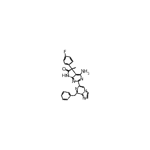 CC1(c2ccc(F)cc2)C(=O)Nc2nc(-c3cn4ccnc4c(Cc4ccccc4)n3)nc(N)c21